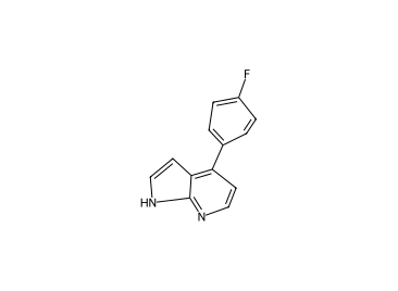 Fc1ccc(-c2ccnc3[nH]ccc23)cc1